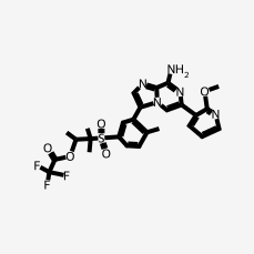 COc1ncccc1-c1cn2c(-c3cc(S(=O)(=O)C(C)(C)C(C)OC(=O)C(F)(F)F)ccc3C)cnc2c(N)n1